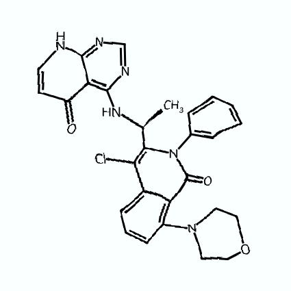 C[C@H](Nc1ncnc2[nH]ccc(=O)c12)c1c(Cl)c2cccc(N3CCOCC3)c2c(=O)n1-c1ccccc1